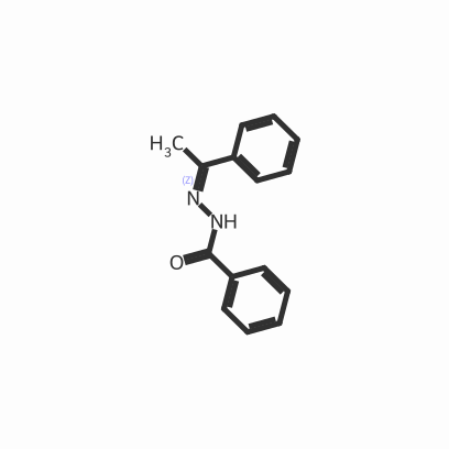 C/C(=N/NC(=O)c1ccccc1)c1ccccc1